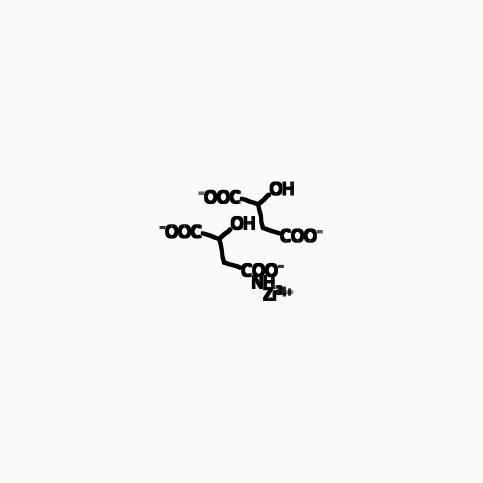 N.O=C([O-])CC(O)C(=O)[O-].O=C([O-])CC(O)C(=O)[O-].[Zr+4]